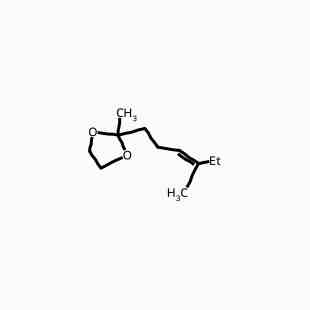 [CH2]C/C(C)=C/CCC1(C)OCCO1